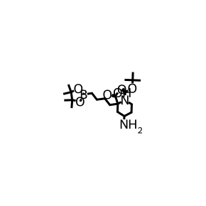 CC(C)(C)OC(=O)N1CCC(N)CC1(CCCCB1OC(C)(C)C(C)(C)O1)C(=O)O